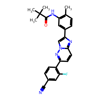 Cc1ccc(-c2cn3nc(-c4ccc(C#N)cc4F)ccc3n2)cc1NC(=O)C(C)(C)C